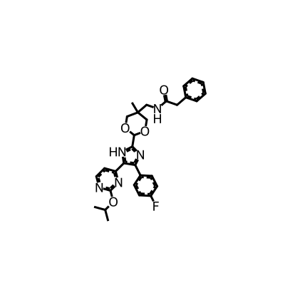 CC(C)Oc1nccc(-c2[nH]c(C3OCC(C)(CNC(=O)Cc4ccccc4)CO3)nc2-c2ccc(F)cc2)n1